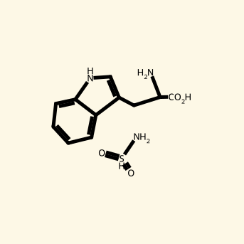 NC(Cc1c[nH]c2ccccc12)C(=O)O.N[SH](=O)=O